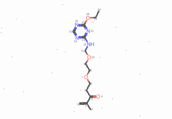 C=C(C)C(=O)CCOCCOCNc1ncnc(OCC)n1